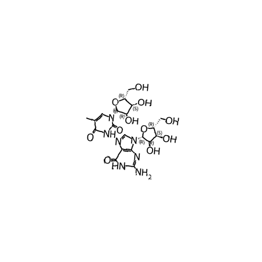 Cc1cn([C@@H]2O[C@H](CO)[C@@H](O)[C@H]2O)c(=O)[nH]c1=O.Nc1nc2c(ncn2[C@@H]2O[C@H](CO)[C@@H](O)[C@H]2O)c(=O)[nH]1